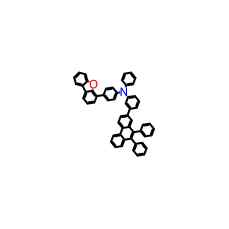 c1ccc(-c2c(-c3ccccc3)c3cc(-c4cccc(N(c5ccccc5)c5ccc(-c6cccc7c6oc6ccccc67)cc5)c4)ccc3c3ccccc23)cc1